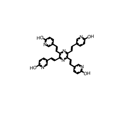 Oc1ccc(C=Cc2nc(C=Cc3ccc(O)nc3)c(C=Cc3ccc(O)nc3)nc2C=Cc2ccc(O)nc2)cn1